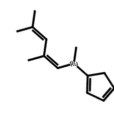 CC(C)=CC(C)=[CH][Ru]([CH3])[C]1=CC=CC1